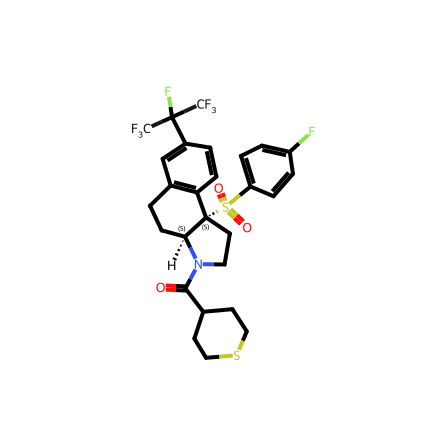 O=C(C1CCSCC1)N1CC[C@]2(S(=O)(=O)c3ccc(F)cc3)c3ccc(C(F)(C(F)(F)F)C(F)(F)F)cc3CC[C@H]12